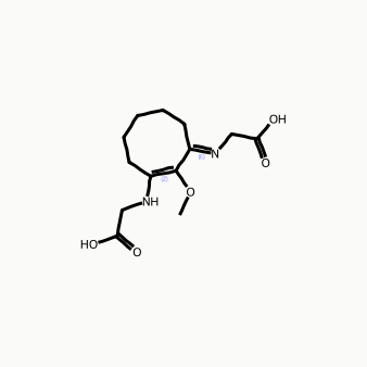 CO/C1=C(\NCC(=O)O)CCCCC\C1=N/CC(=O)O